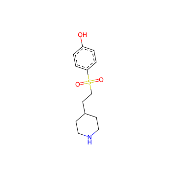 O=S(=O)(CCC1CCNCC1)c1ccc(O)cc1